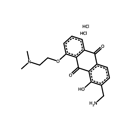 CN(C)CCOc1cccc2c1C(=O)c1c(ccc(CN)c1O)C2=O.Cl.Cl